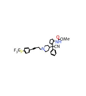 COC(=O)N[C@H]1CCC[C@@H]1C(C#N)(c1ccccc1)C1CCN(CCC#Cc2ccc(SC(F)(F)F)cc2)CC1